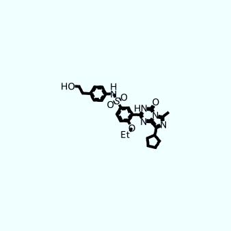 CCOc1ccc(S(=O)(=O)Nc2ccc(CCO)cc2)cc1-c1nc2c(C3CCCC3)nc(C)n2c(=O)[nH]1